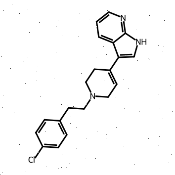 Clc1ccc(CCN2CC=C(c3c[nH]c4ncccc34)CC2)cc1